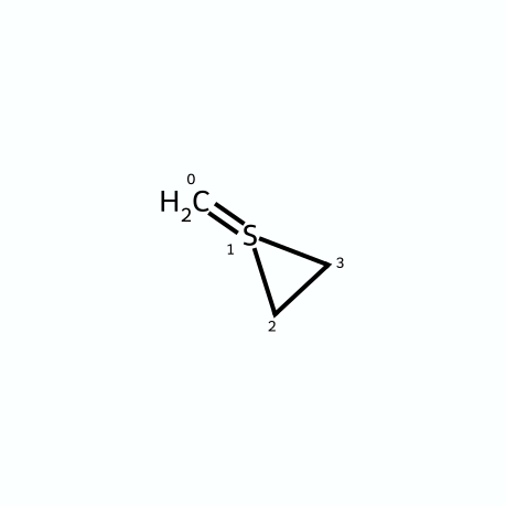 C=S1CC1